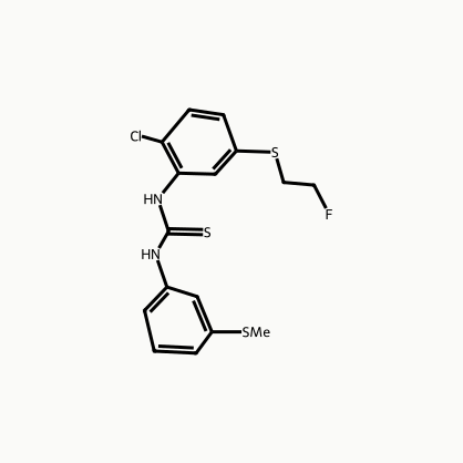 CSc1cccc(NC(=S)Nc2cc(SCCF)ccc2Cl)c1